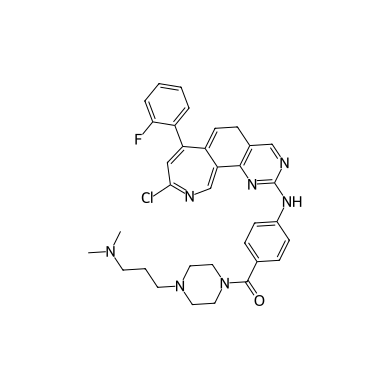 CN(C)CCCN1CCN(C(=O)c2ccc(Nc3ncc4c(n3)C3=CN=C(Cl)C=C(c5ccccc5F)C3=CC4)cc2)CC1